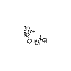 CN1CCC(O)(c2cc(-c3cccc(-c4ccnc(Nc5cnn(C)c5)n4)c3)no2)C1=O